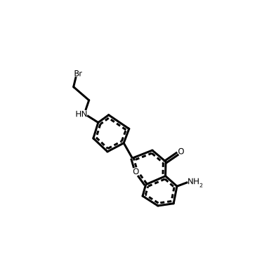 Nc1cccc2oc(-c3ccc(NCCBr)cc3)cc(=O)c12